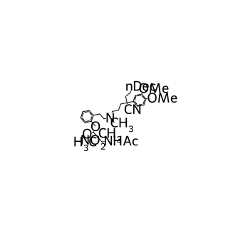 CCCCCCCCCCCCC(C#N)(CCCN(C)CCc1ccccc1OC(O[N+](=O)[O-])C(C)(C)CNC(C)=O)c1ccc(OC)c(OC)c1